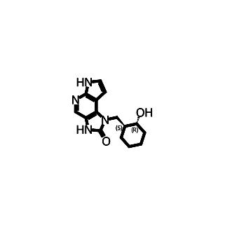 O=c1[nH]c2cnc3[nH]ccc3c2n1C[C@@H]1CCCC[C@H]1O